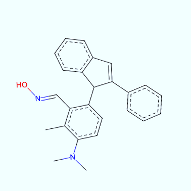 Cc1c(N(C)C)ccc(C2C(c3ccccc3)=Cc3ccccc32)c1C=NO